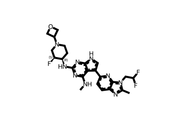 CNc1nc(N[C@@H]2CCN(C3COC3)C[C@@H]2F)nc2[nH]cc(-c3ccc4nc(C)n(CC(F)F)c4n3)c12